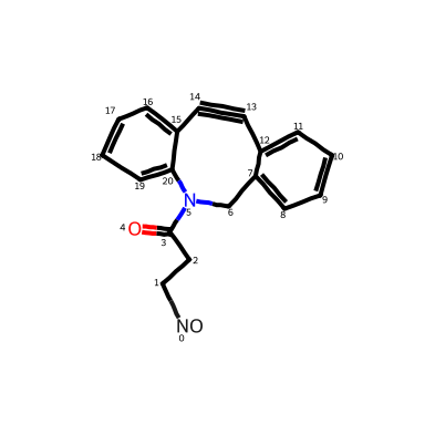 O=NCCC(=O)N1Cc2ccccc2C#Cc2ccccc21